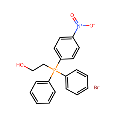 O=[N+]([O-])c1ccc([P+](CCO)(c2ccccc2)c2ccccc2)cc1.[Br-]